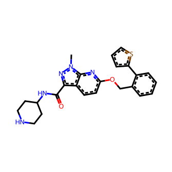 Cn1nc(C(=O)NC2CCNCC2)c2ccc(OCc3ccccc3-c3cccs3)nc21